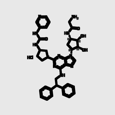 Cl.NCC(=O)N[C@H]1C[C@@H](n2cnc3c(NCC(c4ccccc4)c4ccccc4)nc(N4CCC(NC(=O)Nc5cccnc5)C4)nc32)[C@H](O)[C@@H]1O